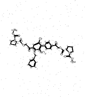 CC(C)(C)OC(=O)N1CCC[C@H]1C(=O)OCC(=O)c1ccc(-c2c(Cl)cc(C(=O)COC(=O)[C@@H]3CCCN3C(=O)OC(C)(C)C)c(OCc3ccccc3)c2[N+](=O)[O-])cc1